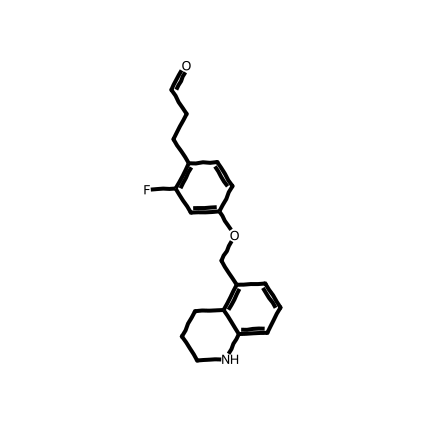 O=CCCc1ccc(OCc2cccc3c2CCCN3)cc1F